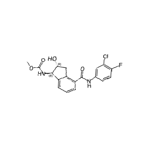 COC(=O)N[C@@H]1c2cccc(C(=O)Nc3ccc(F)c(Cl)c3)c2C[C@H]1O